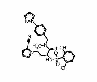 Cc1cccc(Cl)c1S(=O)(=O)NC(CCn1cccc1C#N)C(=O)N(C)Cc1ccc(-n2cccn2)cc1